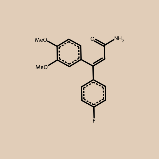 COc1ccc(/C(=C\C(N)=O)c2ccc(F)cc2)cc1OC